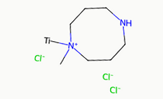 C[N+]1([Ti])CCCNCCC1.[Cl-].[Cl-].[Cl-]